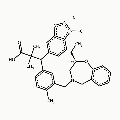 CC[C@@H]1CN(Cc2cc(C(c3ccc4c(c3)nnn4C)C(C)(C)C(=O)O)ccc2C)Cc2ccccc2O1.N